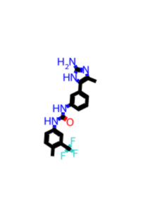 Cc1ccc(NC(=O)Nc2cccc(-c3[nH]c(N)nc3C)c2)cc1C(F)(F)F